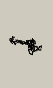 CC(C#N)(Cn1nc2cc(Cl)cc(Cl)c2n1)NC(=S)c1ccc(C(F)(F)F)cc1